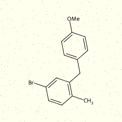 COc1ccc(Cc2cc(Br)ccc2C)cc1